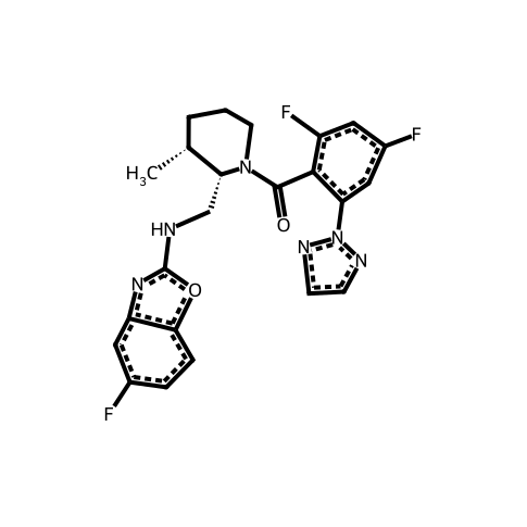 C[C@@H]1CCCN(C(=O)c2c(F)cc(F)cc2-n2nccn2)[C@@H]1CNc1nc2cc(F)ccc2o1